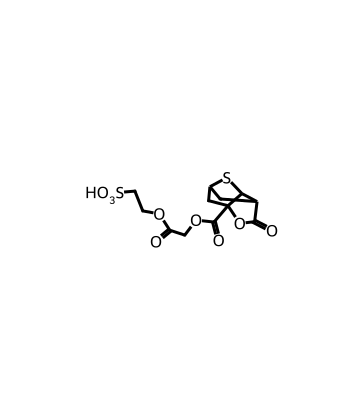 O=C(COC(=O)C12CC3CC(C(=O)O1)C2S3)OCCS(=O)(=O)O